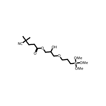 CO[Si](CCCOCC(O)COC(=O)CCC(C)(C)C#N)(OC)OC